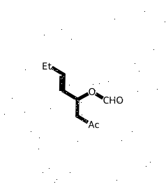 CCC=CC(CC(C)=O)OC=O